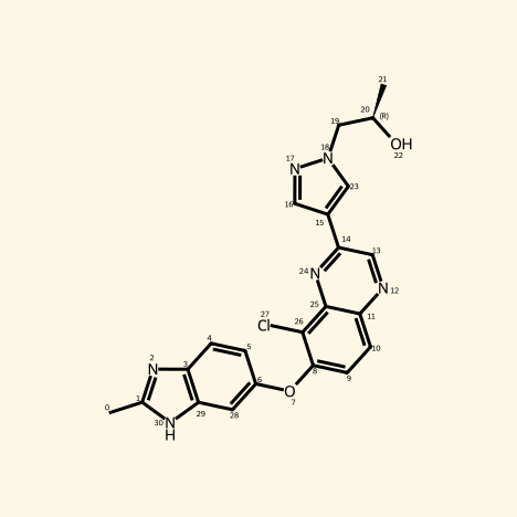 Cc1nc2ccc(Oc3ccc4ncc(-c5cnn(C[C@@H](C)O)c5)nc4c3Cl)cc2[nH]1